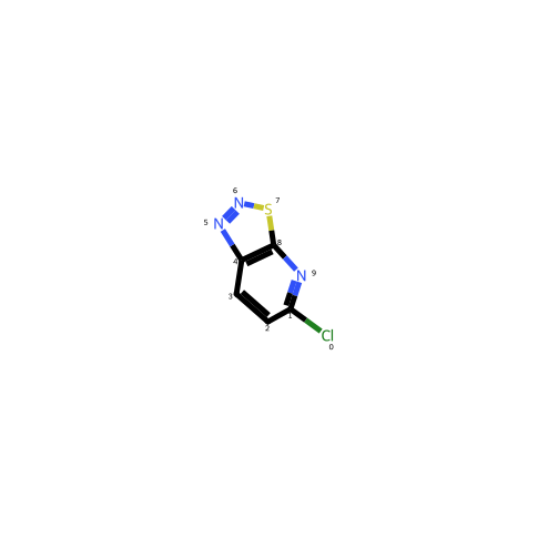 Clc1ccc2nnsc2n1